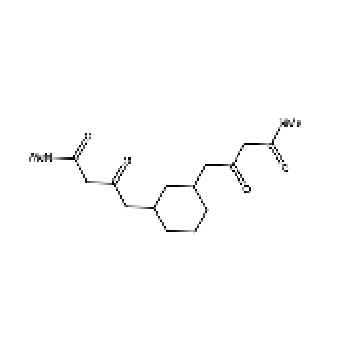 CNC(=O)CC(=O)CC1CCCC(CC(=O)CC(=O)NC)C1